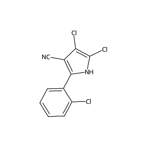 N#Cc1c(-c2ccccc2Cl)[nH]c(Cl)c1Cl